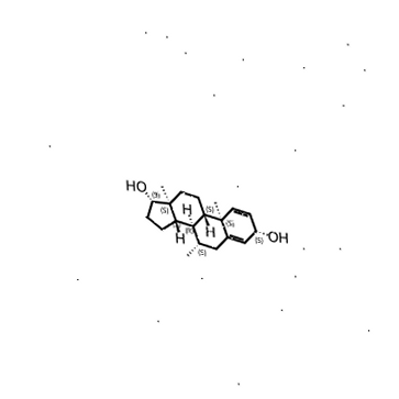 C[C@H]1CC2=C[C@@H](O)C=C[C@]2(C)[C@H]2CC[C@]3(C)[C@@H](O)CC[C@H]3[C@H]12